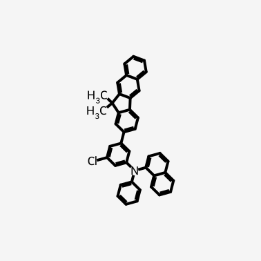 CC1(C)c2cc(-c3cc(Cl)cc(N(c4ccccc4)c4cccc5ccccc45)c3)ccc2-c2cc3ccccc3cc21